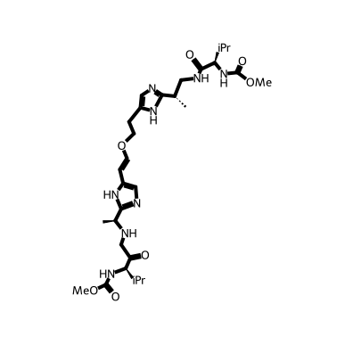 COC(=O)N[C@@H](C(=O)CN[C@@H](C)c1ncc(C=COCCc2cnc([C@@H](C)CNC(=O)[C@H](NC(=O)OC)C(C)C)[nH]2)[nH]1)C(C)C